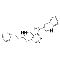 c1ccc(CCC2Cc3cncc(Nc4cnc5ccccc5c4)c3CN2)cc1